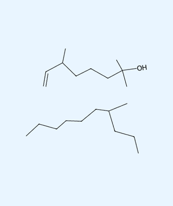 C=CC(C)CCCC(C)(C)O.CCCCCCC(C)CCC